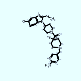 CSc1nc2cc(Cl)ccc2n1C1CCN(C(=O)C2(F)CCN(Cc3cnc(N)nc3)CC2)CC1